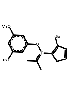 COc1cc([O][Ti]([C]2=C(C(C)(C)C)C=CC2)=[C](C)C)cc(C(C)(C)C)c1